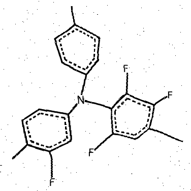 Cc1ccc(N(c2ccc(C)c(F)c2)c2c(F)cc(C)c(F)c2F)cc1